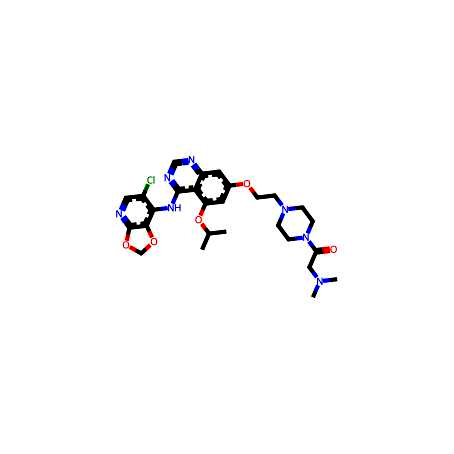 CC(C)Oc1cc(OCCN2CCN(C(=O)CN(C)C)CC2)cc2ncnc(Nc3c(Cl)cnc4c3OCO4)c12